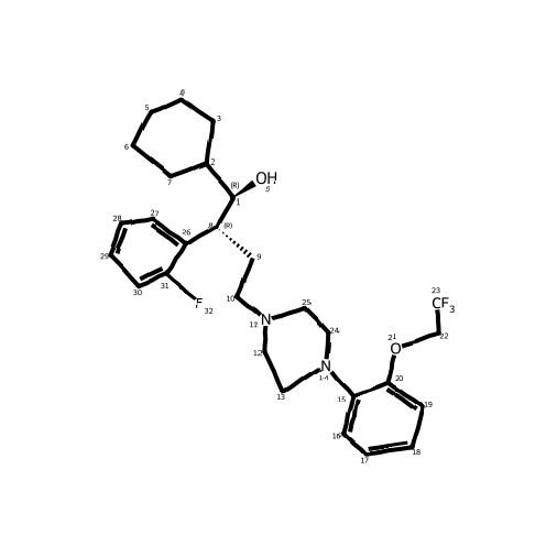 O[C@H](C1CCCCC1)[C@H](CCN1CCN(c2ccccc2OCC(F)(F)F)CC1)c1ccccc1F